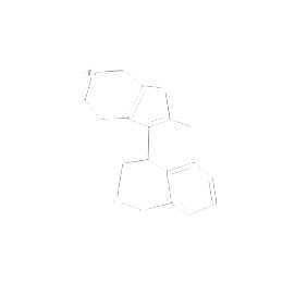 Cc1oc2c(c1C1COOc3ccccc31)CCNC2